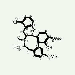 COc1ccc2c(c1)-c1c(ccc(OC)c1O)CC(Cc1c(Cl)cccc1Cl)N(C)CC2.Cl